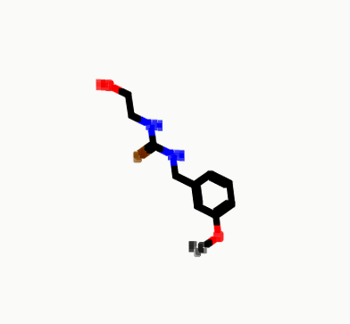 OCCNC(=S)NCc1cccc(OC(F)(F)F)c1